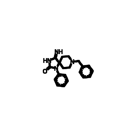 N=C1NC(=O)N(c2ccccc2)C12CCN(Cc1ccccc1)CC2